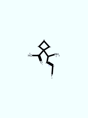 NC(/C=C/F)C1(C(=O)O)CCC1